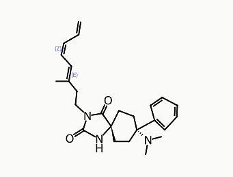 C=C/C=C\C=C(/C)CCN1C(=O)N[C@]2(CC[C@@](c3ccccc3)(N(C)C)CC2)C1=O